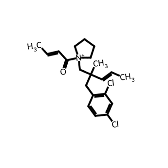 CC=CC(C)(Cc1ccc(Cl)cc1Cl)C[N+]1(C(=O)/C=C/C)CCCC1